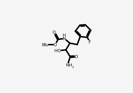 CC(C)(C)OC(=O)NC(Cc1ccccc1F)C(O)C(N)=O